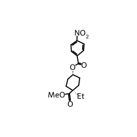 CC[C@]1(C(=O)OC)CC[C@H](OC(=O)c2ccc([N+](=O)[O-])cc2)CC1